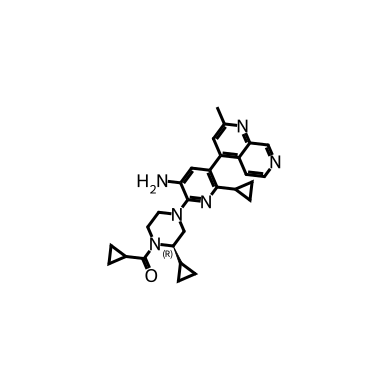 Cc1cc(-c2cc(N)c(N3CCN(C(=O)C4CC4)[C@H](C4CC4)C3)nc2C2CC2)c2ccncc2n1